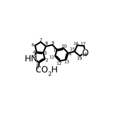 O=C(O)c1cc2c([nH]1)CCC2Cc1cccc(C2CCOC2)c1